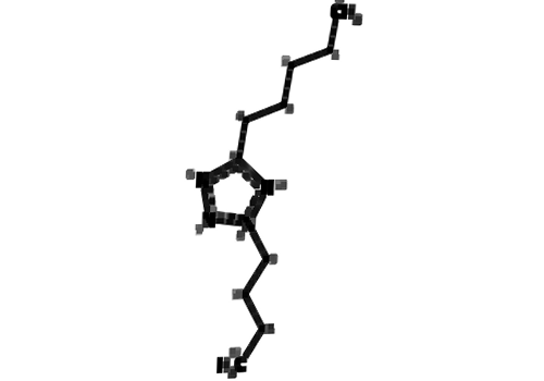 CCCCCc1nnn(CCCC)n1